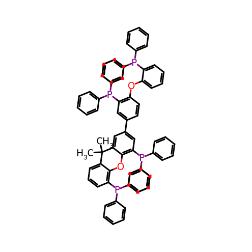 CC1(C)c2cccc(P(c3ccccc3)c3ccccc3)c2Oc2c(P(c3ccccc3)c3ccccc3)cc(-c3ccc(Oc4ccccc4P(c4ccccc4)c4ccccc4)c(P(c4ccccc4)c4ccccc4)c3)cc21